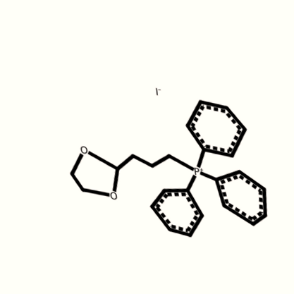 [I-].c1ccc([P+](CCCC2OCCO2)(c2ccccc2)c2ccccc2)cc1